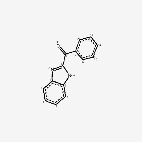 O=C(C1=Nc2ccccc2[N]1)c1ccccc1